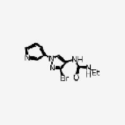 CCNC(=O)Nc1cn(-c2cccnc2)nc1Br